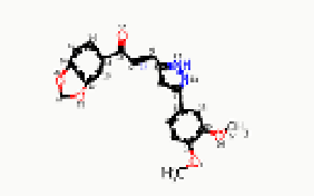 COc1ccc(-c2cc(/C=C/C(=O)c3ccc4c(c3)OCO4)[nH]n2)cc1OC